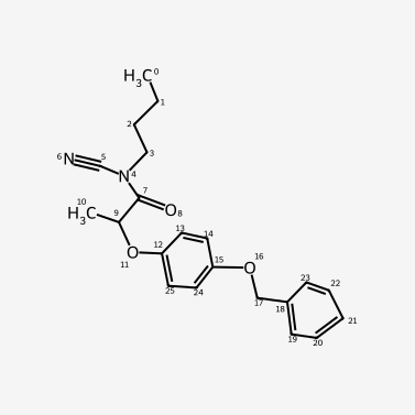 CCCCN(C#N)C(=O)C(C)Oc1ccc(OCc2ccccc2)cc1